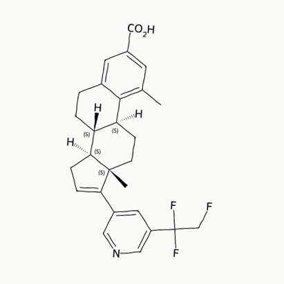 Cc1cc(C(=O)O)cc2c1[C@H]1CC[C@]3(C)C(c4cncc(C(F)(F)CF)c4)=CC[C@H]3[C@@H]1CC2